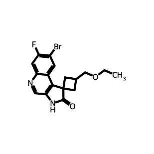 CCOCC1CC2(C1)C(=O)Nc1cnc3cc(F)c(Br)cc3c12